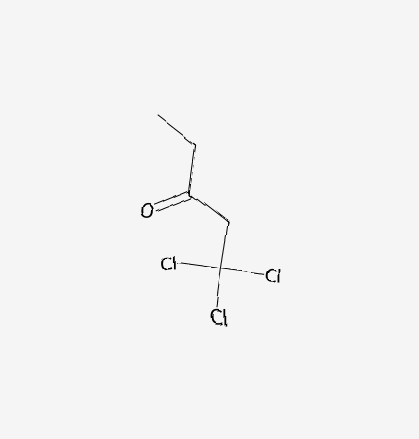 CCC(=O)CC(Cl)(Cl)Cl